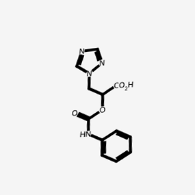 O=C(Nc1ccccc1)OC(Cn1cncn1)C(=O)O